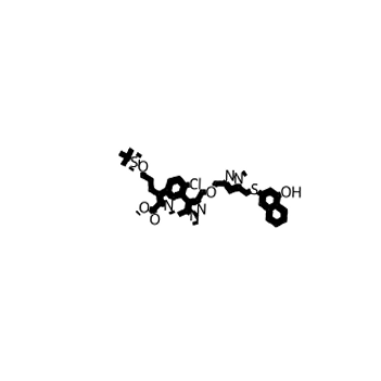 COC(=O)c1c(CCCO[Si](C)(C)C(C)(C)C)c2ccc(Cl)c(-c3c(COCc4cc(CSc5cc(O)c6ccccc6c5)n(C)n4)nn(C)c3C)c2n1C